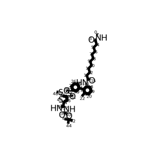 CNC(=O)CCCCCCCCCCC(=O)Nc1cccc(C)c1-c1cccc(S(=O)(=O)c2cc(C(=N)NC(=O)OC(C)(C)C)sc2SC)c1